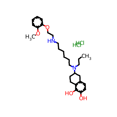 CCCN(CCCCCCNCCOc1ccccc1OC)C1CCc2c(ccc(O)c2O)C1.Cl.Cl